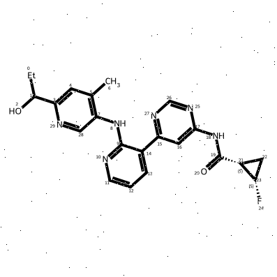 CCC(O)c1cc(C)c(Nc2ncccc2-c2cc(NC(=O)[C@@H]3C[C@@H]3F)ncn2)cn1